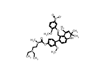 CCN(CC)CCN(C)C(=O)Oc1ccc(-c2ccc3c(c2COc2cc([N+](=O)[O-])ccc2OC)C(C)=CC(C)(C)N3)c(OC)c1